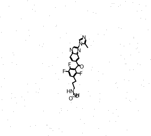 Cc1cncn1-c1cnc2ccc(C(=O)c3c(F)c(F)cc(CCCN[SH](=O)=O)c3F)cc2n1